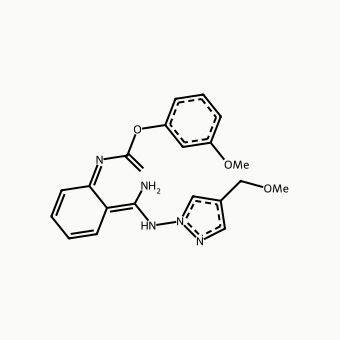 C=C(/N=C1/C=CC=C/C1=C(/N)Nn1cc(COC)cn1)Oc1cccc(OC)c1